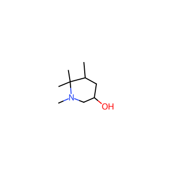 CC1CC(O)CN(C)C1(C)C